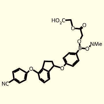 CNOB(OCC(=O)OCC(=O)O)c1ccc(OC2CCc3c(Oc4ccc(C#N)cc4)cccc32)cc1